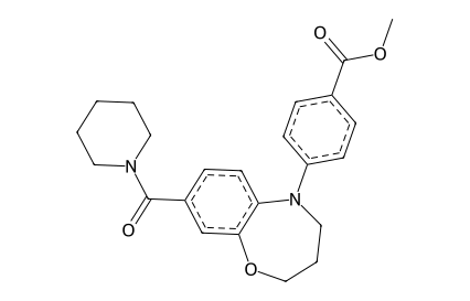 COC(=O)c1ccc(N2CCCOc3cc(C(=O)N4CCCCC4)ccc32)cc1